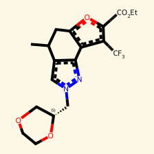 CCOC(=O)c1oc2c(c1C(F)(F)F)-c1nn(C[C@H]3COCCO3)cc1C(C)C2